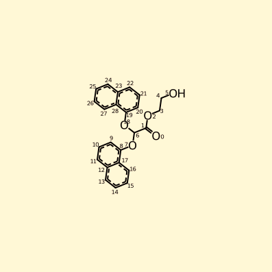 O=C(OCCO)C(Oc1cccc2ccccc12)Oc1cccc2ccccc12